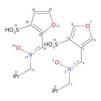 CC(C)C[N+]([O-])=Cc1cocc1S(=O)(=O)O.CC(C)C[N+]([O-])=Cc1occc1S(=O)(=O)O